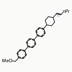 CCC/C=C/C1CCC(c2ccc(-c3ccc(-c4ccc(COC)cc4)cc3)cc2)CC1